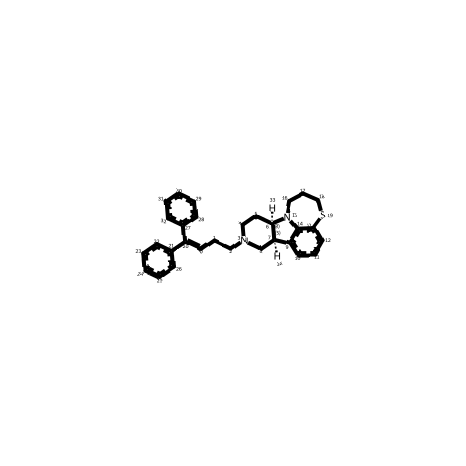 C(CCN1CC[C@@H]2[C@H](C1)c1cccc3c1N2CCCS3)=C(c1ccccc1)c1ccccc1